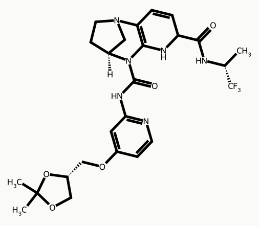 C[C@@H](NC(=O)C1C=CC2=C(N1)N(C(=O)Nc1cc(OC[C@@H]3COC(C)(C)O3)ccn1)[C@H]1CCN2C1)C(F)(F)F